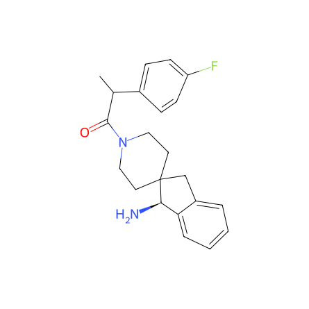 CC(C(=O)N1CCC2(CC1)Cc1ccccc1[C@H]2N)c1ccc(F)cc1